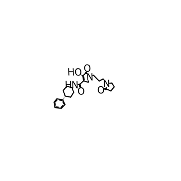 O=C(N[C@H]1CC[C@@H](c2ccccc2)CC1)C1=C(O)C(=O)N(CCCN2CCCC2=O)C1